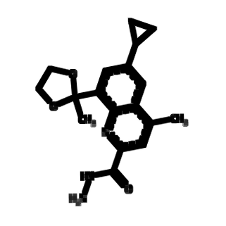 Cc1cc(C(=O)NN)nc2c(C3(C)OCCO3)cc(C3CC3)cc12